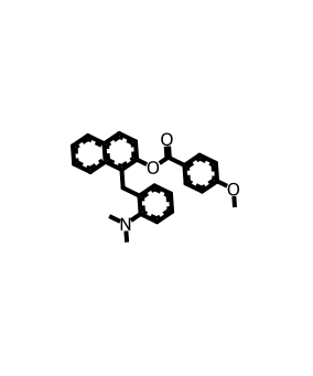 COc1ccc(C(=O)Oc2ccc3ccccc3c2Cc2ccccc2N(C)C)cc1